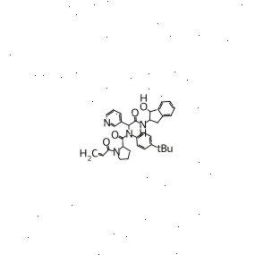 C=CC(=O)N1CCCC1C(=O)N(c1ccc(C(C)(C)C)cc1)C(C(=O)NC1Cc2ccccc2C1O)c1cccnc1